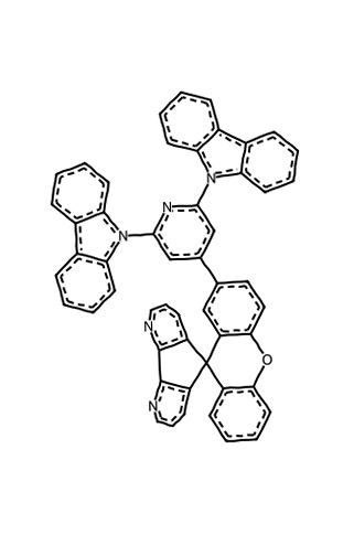 c1ccc2c(c1)Oc1ccc(-c3cc(-n4c5ccccc5c5ccccc54)nc(-n4c5ccccc5c5ccccc54)c3)cc1C21c2cccnc2-c2ncccc21